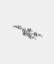 COC(=O)/C=C/c1cc(OC)c2c(c1)[C@@H](C(=O)OC)[C@H](c1ccc(OC(=O)/C=C/c3ccc(O)cc3)c(OC)c1)O2